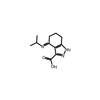 CC(C)/N=C1\CCCc2[nH]nc(C(=O)O)c21